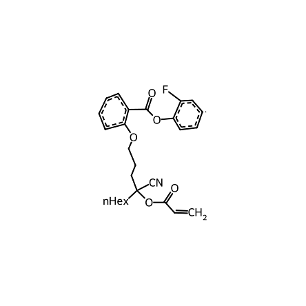 C=CC(=O)OC(C#N)(CCCCCC)CCCOc1ccccc1C(=O)Oc1cc[c]cc1F